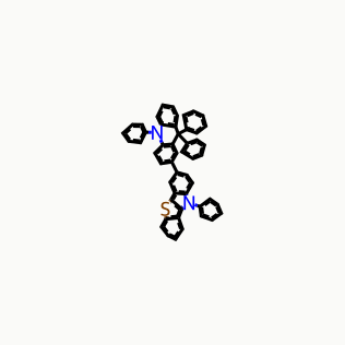 c1ccc(N2c3ccccc3C(c3ccccc3)(c3ccccc3)c3cc(-c4ccc5c(c4)c4sc6ccccc6c4n5-c4ccccc4)ccc32)cc1